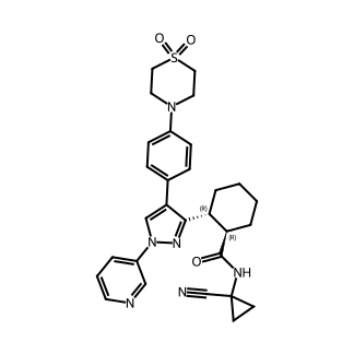 N#CC1(NC(=O)[C@@H]2CCCC[C@H]2c2nn(-c3cccnc3)cc2-c2ccc(N3CCS(=O)(=O)CC3)cc2)CC1